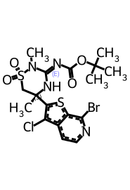 CN1/C(=N/C(=O)OC(C)(C)C)N[C@](C)(c2sc3c(Br)nccc3c2Cl)CS1(=O)=O